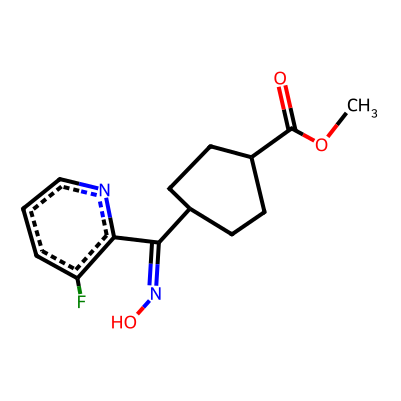 COC(=O)C1CCC(C(=NO)c2ncccc2F)CC1